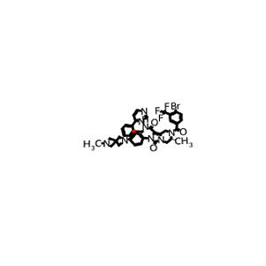 C[C@@H]1Cn2c(c(C(=O)NCc3ccccc3-c3ccncn3)n(-c3ccc(N4CC5(CN(C)C5)C4)cc3)c2=O)CN1C(=O)c1ccc(Br)c(C(F)(F)F)c1